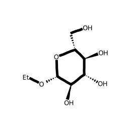 CCO[C@@H]1O[C@H](CO)[C@@H](O)[C@H](O)[C@H]1O